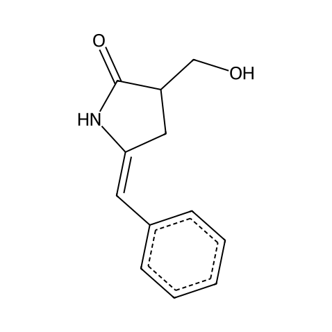 O=C1NC(=Cc2ccccc2)CC1CO